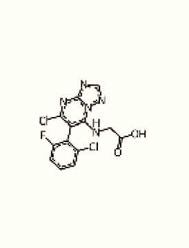 O=C(O)CNc1c(-c2c(F)cccc2Cl)c(Cl)nc2ncnn12